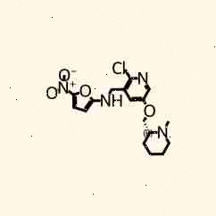 CN1CCCC[C@@H]1COc1cnc(Cl)c(CNc2ccc([N+](=O)[O-])o2)c1